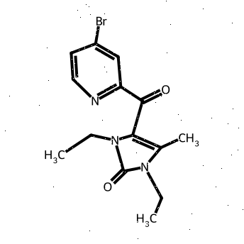 CCn1c(C)c(C(=O)c2cc(Br)ccn2)n(CC)c1=O